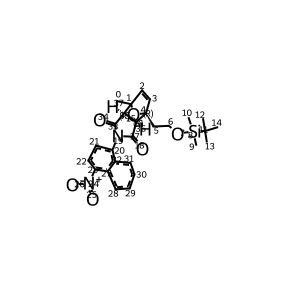 CC12C=C[C@@](CCO[Si](C)(C)C(C)(C)C)(O1)[C@H]1C(=O)N(c3ccc([N+](=O)[O-])c4ccccc34)C(=O)[C@H]12